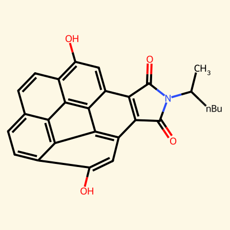 CCCCC(C)n1c(=O)c2c3cc(O)c4ccc5ccc6c(O)cc(c2c1=O)c1c6c5c4c31